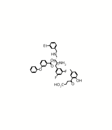 CCc1cccc(CNC[C@@H](OC(=O)c2cccc(Oc3ccccc3)c2)[C@@H](N)Cc2cc(F)cc(F)c2)c1.Cc1ccc(O)c(C(=O)CCC(=O)O)c1